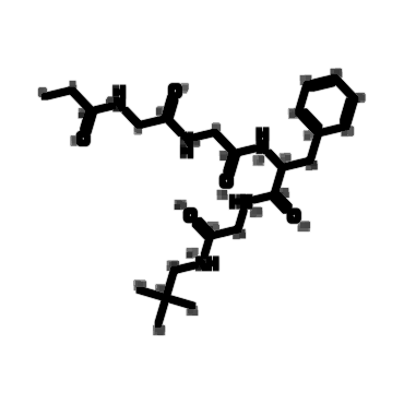 CCC(=O)NCC(=O)NCC(=O)NC(Cc1ccccc1)C(=O)NCC(=O)NCC(C)(C)C